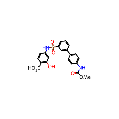 COC(=O)Nc1ccc(-c2cccc(S(=O)(=O)Nc3ccc(C(=O)O)c(O)c3)c2)cc1